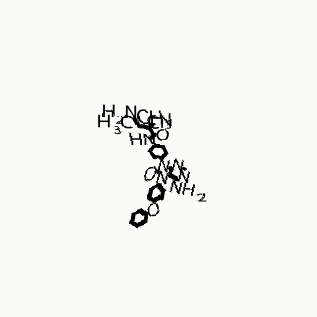 CC(C)(N)C=C(C#N)C(=O)NC1CCC(n2c(=O)n(-c3ccc(Oc4ccccc4)cc3)c3c(N)ncnc32)CC1